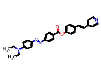 CCN(CC)c1ccc(N=Nc2ccc(C(=O)Oc3ccc(C=Cc4ccncc4)cc3)cc2)cc1